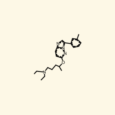 CCN(CC)CCCC(C)Oc1ccc2ncc(-c3cccc(C)c3)n2n1